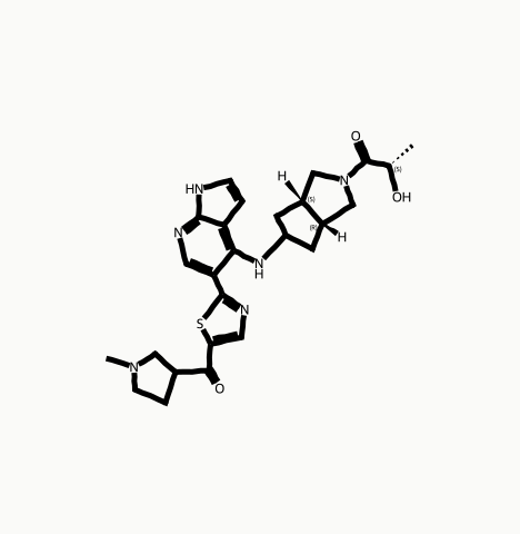 C[C@H](O)C(=O)N1C[C@H]2CC(Nc3c(-c4ncc(C(=O)C5CCN(C)C5)s4)cnc4[nH]ccc34)C[C@H]2C1